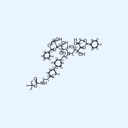 CC(C)(C)OC(=O)NCCc1ccc(-c2ccc(CCN(C[C@H](O)[C@@H](O)[C@@H]3OC(c4ccccc4)OC[C@H]3O)C[C@H](O)[C@@H](O)[C@@H]3OC(c4ccccc4)OC[C@H]3O)cc2)cc1